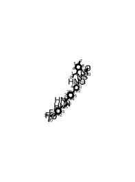 CCCc1ccc(C)cc1N1C(=O)CS/C1=N\C(=O)NC1CCC(c2ccc(C(=N)/N=C\Nc3ccc(OC(F)(F)F)cc3)cc2)C1